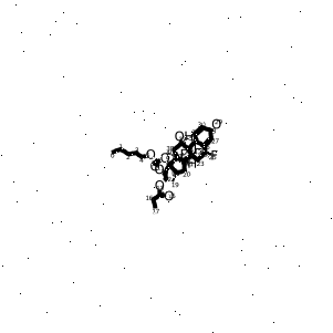 CCCCCOC(=O)O[C@]1(C(=O)COC(=O)CC)[C@H](C)C[C@H]2[C@@H]3C[C@H](F)C4=CC(=O)C=C[C@]4(C)[C@@]3(F)[C@@H](O)C[C@@]21C